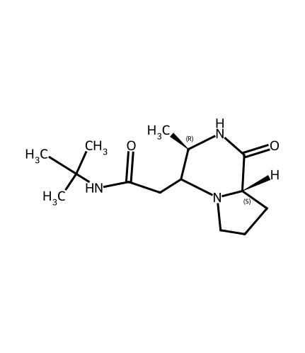 C[C@H]1NC(=O)[C@@H]2CCCN2C1CC(=O)NC(C)(C)C